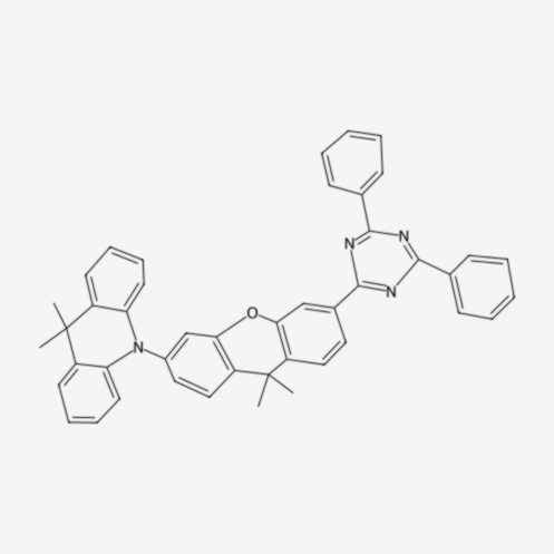 CC1(C)c2ccc(-c3nc(-c4ccccc4)nc(-c4ccccc4)n3)cc2Oc2cc(N3c4ccccc4C(C)(C)c4ccccc43)ccc21